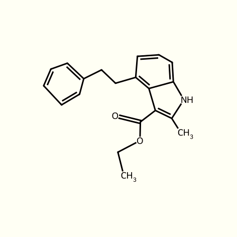 CCOC(=O)c1c(C)[nH]c2cccc(CCc3ccccc3)c12